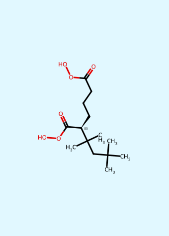 CC(C)(C)CC(C)(C)[C@H](CCCC(=O)OO)C(=O)OO